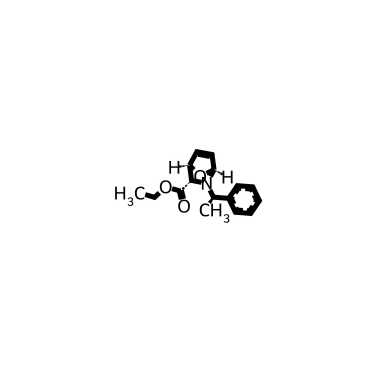 CCOC(=O)[C@@H]1[C@H]2C=C[C@H](O2)N1[C@H](C)c1ccccc1